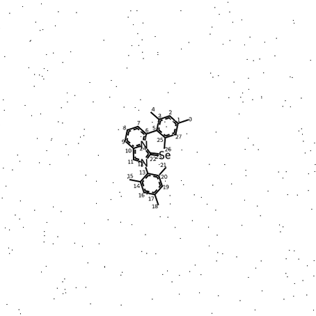 Cc1cc(C)c(-c2cccc3cn(-c4c(C)cc(C)cc4C)c(=[Se])n23)c(C)c1